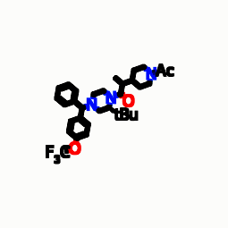 CC(=O)N1CCC(C(C)C(=O)N2CCN(C(c3ccccc3)c3ccc(OC(F)(F)F)cc3)C[C@@H]2C(C)(C)C)CC1